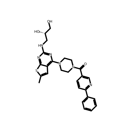 Cc1cc2c(N3CCN(C(=O)c4ccc(-c5ccccc5)nc4)CC3)nc(NC[C@H](O)CO)nc2s1